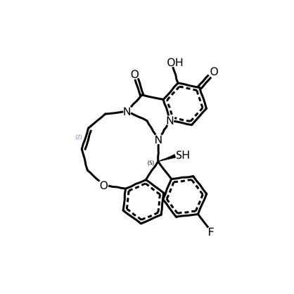 O=C1c2c(O)c(=O)ccn2N2CN1C/C=C\COc1ccccc1[C@@]2(S)c1ccc(F)cc1